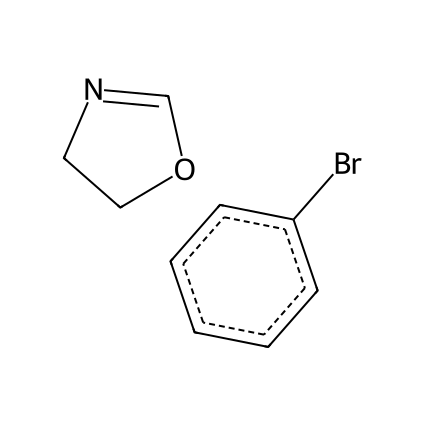 Brc1ccccc1.C1=NCCO1